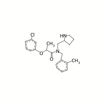 Cc1ccccc1CN(CC1CCCN1)C(=O)C(C)Oc1cccc(Cl)c1